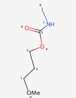 COCCCOC(=O)NI